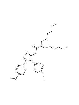 CCCCCCN(CCCCCC)C(=O)Cc1onc(-c2ccc(OC)cc2)c1-c1ccc(OC)cc1